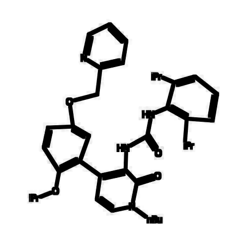 CCCCn1ccc(-c2cc(OCc3ccccn3)ccc2OC(C)C)c(NC(=O)Nc2c(C(C)C)cccc2C(C)C)c1=O